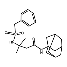 CC(C)(CC(=O)NC12CC3CC(CC(C3)C1)C2)NS(=O)(=O)Cc1ccccc1